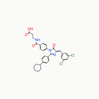 O=C(O)CCNC(=O)c1ccc(N2C(=O)C(=Cc3cc(Cl)cc(Cl)c3)N=C2c2ccc(C3CCCCC3)cc2)cc1